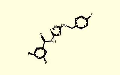 O=C(Nc1nnc(NCc2ccc(F)cc2)s1)c1cc(F)cc(F)c1